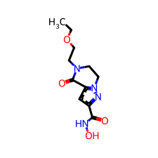 CCOCCN1CCn2nc(C(=O)NO)cc2C1=O